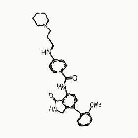 COc1ccccc1-c1ccc(NC(=O)c2ccc(NCCCN3CCCCC3)cc2)c2c1CNC2=O